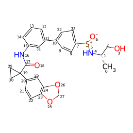 C[C@@H](CO)N[S+]([O-])c1ccc(-c2cccc(NC(=O)C3(c4ccc5c(c4)OCO5)CC3)c2)cc1